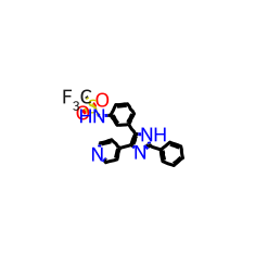 O=S(=O)(Nc1cccc(-c2[nH]c(-c3ccccc3)nc2-c2ccncc2)c1)C(F)(F)F